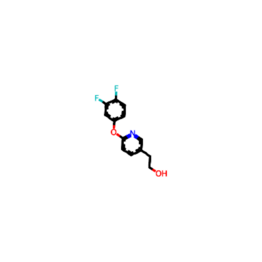 OCCc1ccc(Oc2ccc(F)c(F)c2)nc1